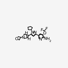 Nc1ncc(-c2cc(C3[C@H]4CN(C5COC5)C[C@@H]34)n(C3CCCC3)n2)cc1OC(F)F